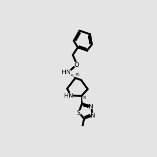 Cc1nnc([C@@H]2CC[C@@H](NOCc3ccccc3)CN2)s1